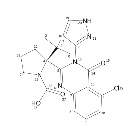 CC(C)(C)[C@]1(c2nc3cccc(Cl)c3c(=O)n2-c2cc[nH]n2)CCCN1C(=O)O